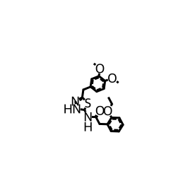 CCOc1ccccc1CC(=O)NC1NN=C(Cc2ccc(OC)c(OC)c2)S1